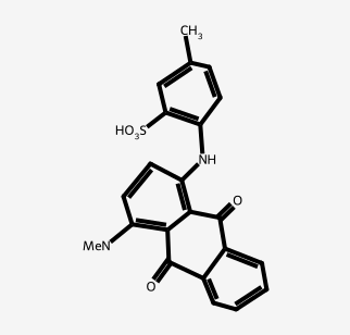 CNc1ccc(Nc2ccc(C)cc2S(=O)(=O)O)c2c1C(=O)c1ccccc1C2=O